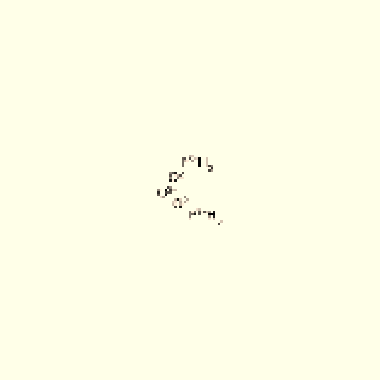 [O-2].[O-2].[O-2].[PH6+3].[PH6+3]